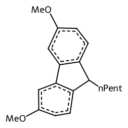 CCCCCC1c2ccc(OC)cc2-c2cc(OC)ccc21